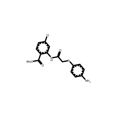 COC(=O)c1ccc(Cl)cc1NC(=O)CSc1ccc(N)cc1